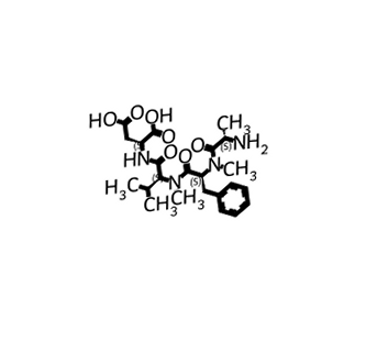 CC(C)[C@@H](C(=O)N[C@@H](CC(=O)O)C(=O)O)N(C)C(=O)[C@H](Cc1ccccc1)N(C)C(=O)[C@H](C)N